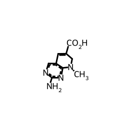 CN1CC(C(=O)O)=Cc2cnc(N)nc21